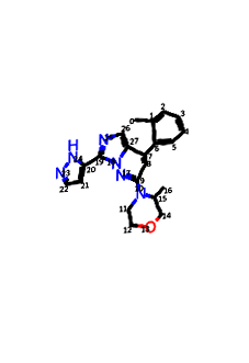 Cc1ccccc1-c1cc(N2CCOCC2C)nn2c(-c3ccn[nH]3)ncc12